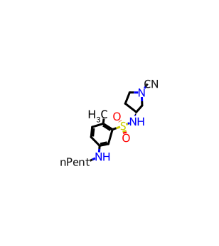 CCCCCNc1ccc(C)c(S(=O)(=O)N[C@@H]2CCN(C#N)C2)c1